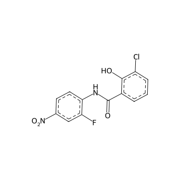 O=C(Nc1ccc([N+](=O)[O-])cc1F)c1cccc(Cl)c1O